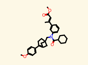 COC(=O)/C=C(\C)c1cccc(N(CC23CCC(c4ccc(OC)cc4)=C(C2)C3)C(=O)C2CCCCC2)c1